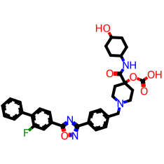 O=C(O)OC1(C(=O)NC2CCC(O)CC2)CCN(Cc2ccc(-c3noc(-c4ccc(-c5ccccc5)c(F)c4)n3)cc2)CC1